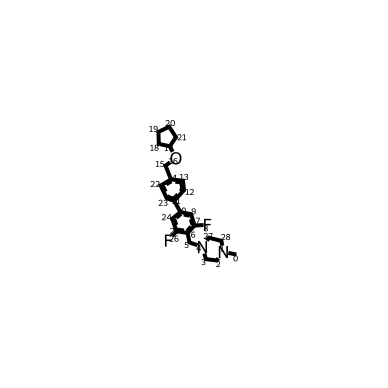 CN1CCN(Cc2c(F)cc(-c3ccc(COC4CCCC4)cc3)cc2F)CC1